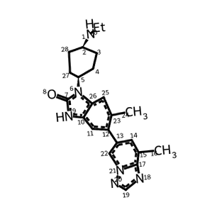 CCN[C@H]1CC[C@@H](n2c(=O)[nH]c3cc(-c4cc(C)c5ncnn5c4)c(C)cc32)CC1